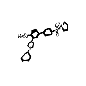 COc1ccc(-c2ccc(S(=O)(=O)N3CCCC3)cc2)cc1C1CCN(C2CCCCC2)CC1